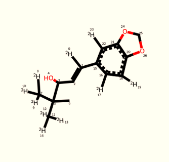 [2H]/C(=C\C(O)C(C)(C([2H])([2H])[2H])C([2H])([2H])[2H])c1c([2H])c([2H])c2c(c1[2H])OCO2